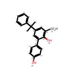 CC(C)(c1ccccc1)c1cc(-c2ccc(O)cc2)c(O)c(S(=O)(=O)O)c1